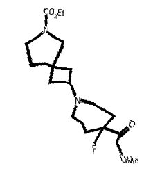 CCOC(=O)N1CCC2(CC(N3CCC(F)(C(=O)OC)CC3)C2)C1